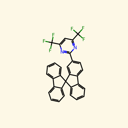 FC(F)(F)c1cc(C(F)(F)F)nc(-c2ccc3c(c2)C2(c4ccccc4-c4ccccc42)c2ccccc2-3)n1